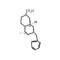 C[C@H]1CN(Cc2ccccc2)C[C@@H]2CN(C(=O)O)CCN21